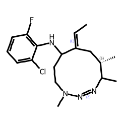 C/C=C1\C[C@H](C)C(C)/N=N\N(C)CCC1Nc1c(F)cccc1Cl